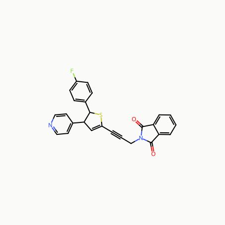 O=C1c2ccccc2C(=O)N1CC#CC1=CC(c2ccncc2)C(c2ccc(F)cc2)S1